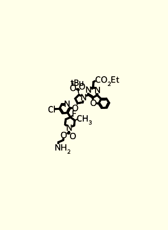 CCOC(=O)Cc1nc(N2C[C@@H](Oc3ncc(Cl)cc3[C@@]3(F)CCN(C(=O)OCCN)C[C@@H]3C)C[C@H]2C(=O)OC(C)(C)C)c2oc3ccccc3c2n1